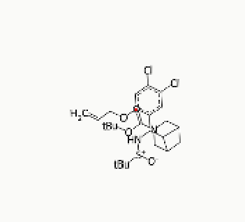 C=CCOc1cc(Cl)c(Cl)cc1C(N[S+]([O-])C(C)(C)C)C1C2CC1CN(C(=O)OC(C)(C)C)C2